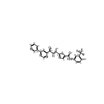 Cc1ccc(NC(=O)c2cnc(C(C)NC(=O)c3cc(-c4cccnc4)ncn3)s2)cc1C(F)(F)F